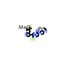 C=C(C)/C(=C\c1c(-c2cnn(/C=C\C(/C=N\C)N3CCC(N(C)CCC(C)C)CC3)c2C)ccnc1C)C(C)(F)OC.F